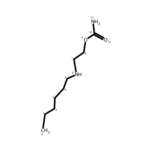 CCCCCCNCCOC(N)=O